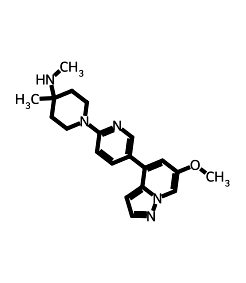 CNC1(C)CCN(c2ccc(-c3cc(OC)cn4nccc34)cn2)CC1